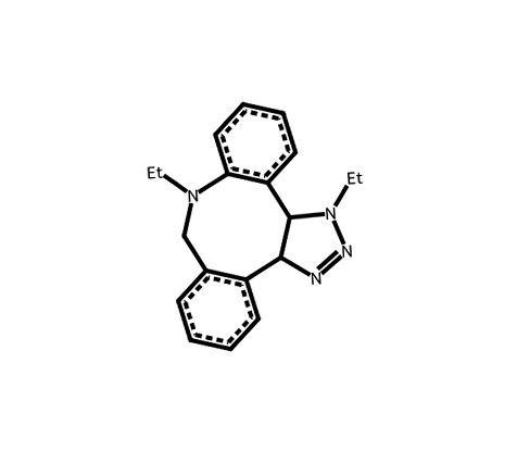 CCN1Cc2ccccc2C2N=NN(CC)C2c2ccccc21